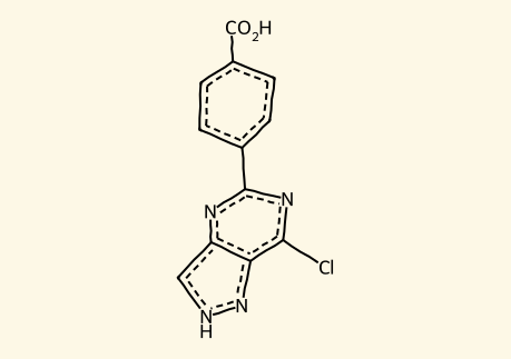 O=C(O)c1ccc(-c2nc(Cl)c3n[nH]cc3n2)cc1